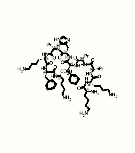 CC(C)[C@H](NC(=O)[C@H](Cc1c[nH]cn1)NC(=O)[C@H](Cc1ccccc1)NC(=O)[C@@H](NC(=O)[C@@H](NC(=O)[C@H](CCCCN)NC(=O)[C@@H](N)CCCCN)C(C)C)C(C)C)C(=O)N[C@@H](CCCCN)C(=O)N[C@@H](Cc1ccccc1)C(=O)N[C@@H](CCCCN)C(=O)O